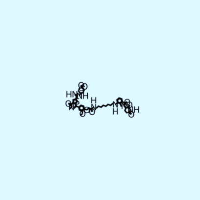 COc1cc(-c2cn(C)c(=O)c3cc(C(=N)NC4CCS(=O)(=O)CC4)sc23)ccc1OCC(=O)NCCCCCCCCNc1cccc2c1CN(C1CCC(=O)NC1=O)C2=O